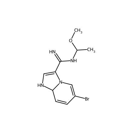 COC(C)NC(=N)C1=CNC2C=CC(Br)=CN12